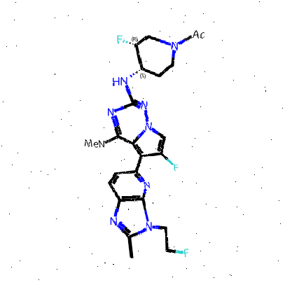 CNc1nc(N[C@H]2CCN(C(C)=O)C[C@H]2F)nn2cc(F)c(-c3ccc4nc(C)n(CCF)c4n3)c12